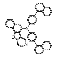 c1ccc2c(-c3ccc(N(c4ccc(-c5cccc6ccccc56)cc4)c4cc5ccccc5c5oc6ccncc6c45)cc3)cccc2c1